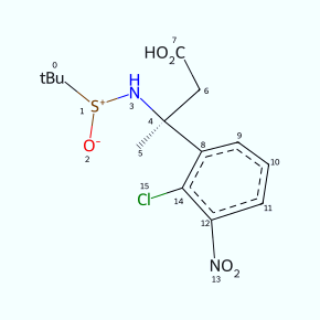 CC(C)(C)[S+]([O-])N[C@@](C)(CC(=O)O)c1cccc([N+](=O)[O-])c1Cl